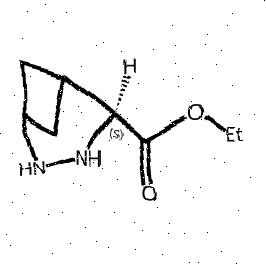 CCOC(=O)[C@H]1NNC2CC1C2